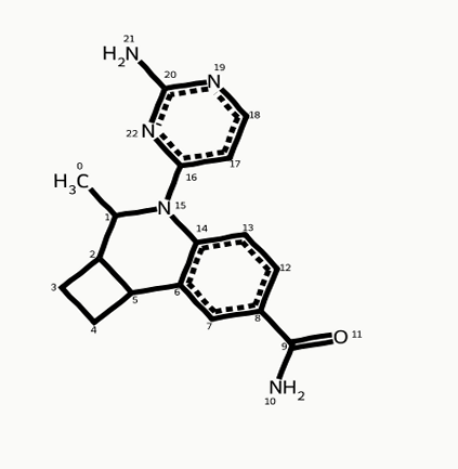 CC1C2CCC2c2cc(C(N)=O)ccc2N1c1ccnc(N)n1